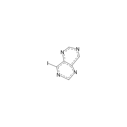 Ic1ncnc2cncnc12